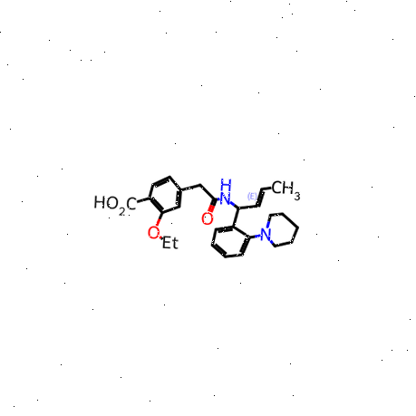 C/C=C/C(NC(=O)Cc1ccc(C(=O)O)c(OCC)c1)c1ccccc1N1CCCCC1